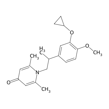 COc1ccc(C(C)Cn2c(C)cc(=O)cc2C)cc1OC1CC1